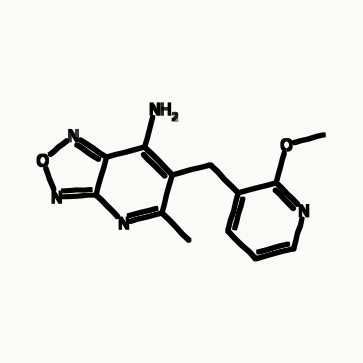 COc1ncccc1Cc1c(C)nc2nonc2c1N